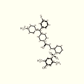 Cc1cc(S(=O)(=O)N2CCCCC2CCC(=O)N2CCC(C(c3cccc(F)c3)N3CCN(C)CC3)CC2)c(C)cc1Cl